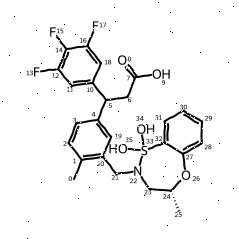 Cc1ccc(C(CC(=O)O)c2cc(F)c(F)c(F)c2)cc1CN1C[C@@H](C)Oc2ccccc2S1(O)O